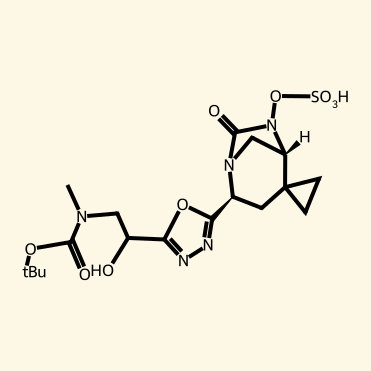 CN(CC(O)c1nnc([C@@H]2CC3(CC3)[C@@H]3CN2C(=O)N3OS(=O)(=O)O)o1)C(=O)OC(C)(C)C